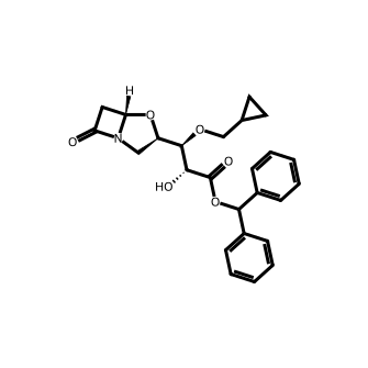 O=C(OC(c1ccccc1)c1ccccc1)[C@H](O)[C@H](OCC1CC1)[C@H]1CN2C(=O)C[C@@H]2O1